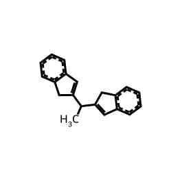 CC(C1=Cc2ccccc2C1)C1=Cc2ccccc2C1